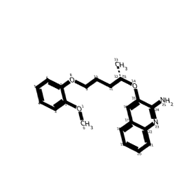 COc1ccccc1OCCC[C@H](C)Oc1cc2ccccc2nc1N